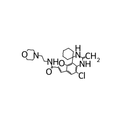 C=C1Nc2c(Cl)cc3cc(C(=O)NCCN4CCOCC4)oc3c2C2(CCCCC2)N1